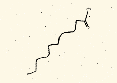 O=C(O)CCCCCCCCI